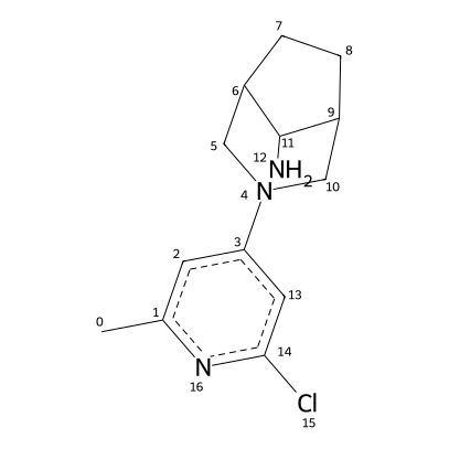 Cc1cc(N2CC3CCC(C2)C3N)cc(Cl)n1